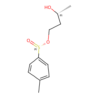 Cc1ccc([S@](=O)OCC[C@@H](C)O)cc1